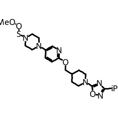 COOSN1CCN(c2ccc(OCC3CCN(c4nc(C(C)C)no4)CC3)nc2)CC1